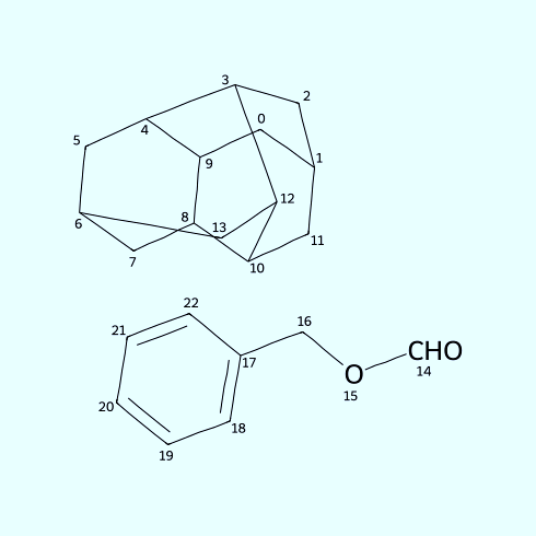 C1C2CC3C4CC5CC(C14)C(C2)C3C5.O=COCc1ccccc1